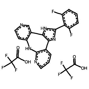 Fc1cccc(F)c1-c1nc2c([nH]1)-c1cnccc1Nc1ncccc1-2.O=C(O)C(F)(F)F.O=C(O)C(F)(F)F